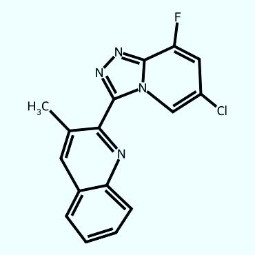 Cc1cc2ccccc2nc1-c1nnc2c(F)cc(Cl)cn12